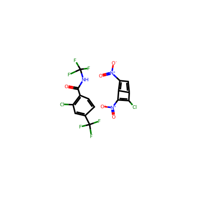 O=C(NC(F)(F)F)c1ccc(C(F)(F)F)cc1Cl.O=[N+]([O-])c1cc2c(Cl)c([N+](=O)[O-])c1-2